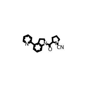 N#CN1CCCC1C(=O)N1CCc2c(-c3ccccn3)cccc21